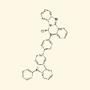 O=c1n(-c2ccc(-c3ccc4c(c3)c3ccccc3n4-c3ccccc3)cc2)c2ccccc2c2nc3ccccc3n12